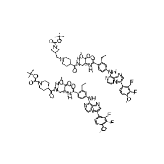 CCc1cc(Nc2nccn3c(-c4ccc(OC)c(F)c4F)cnc23)ccc1C(=O)N[C@@H](CNC(=O)C1CCN(C(=O)OC(C)(C)C)CC1)C(=O)OC.CCc1cc(Nc2nccn3c(-c4ccc(OC)c(F)c4F)cnc23)ccc1C(=O)N[C@@H](CNC(=O)C1CCN(CC2CN(C(=O)OC(C)(C)C)C2)CC1)C(=O)OC